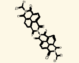 CCC(CC)N1C(=O)c2ccc3c4c(ccc(c24)C1=O)C(=S)N(N1C(=S)c2ccc4c5c(ccc(c25)C1=S)C(=O)N(C(CC)CC)C4=O)C3=S